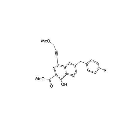 COCC#Cc1nc(C(=O)OC)c(O)c2ncc(Cc3ccc(F)cc3)cc12